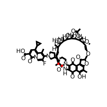 CO[C@H]1/C=C/O[C@@]2(C)Oc3c(C)c(O)c4c(c3C2=O)C(=O)C(N2CCN(C3CCN(c5c(F)cn6c(=O)c(C(=O)O)cc(C7CC7)c6c5C)C3)CC2)=C(NC(=O)/C(C)=C\C=C\[C@H](C)[C@H](O)[C@@H](C)[C@@H](O)[C@@H](C)[C@H](OC(C)=O)[C@@H]1C)C4=O